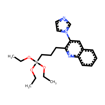 CCO[Si](CCCc1nc2ccccc2cc1-n1ccnc1)(OCC)OCC